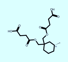 C[C@@H]1CCCC(COC(=O)CCC(=O)O)(COC(=O)CCC(=O)O)C1